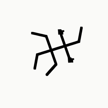 CCC(Br)(Br)C(CC)(CC)CC